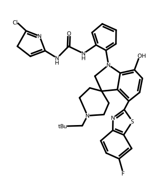 CC(C)(C)CN1CCC2(CC1)CN(c1ccccc1NC(=O)NC1=CCC(Cl)=N1)c1c(O)ccc(-c3nc4ccc(F)cc4s3)c12